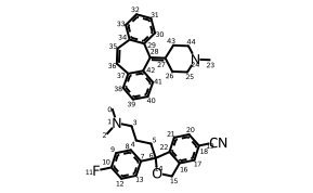 CN(C)CCCC1(c2ccc(F)cc2)OCc2cc(C#N)ccc21.CN1CCC(=C2c3ccccc3C=Cc3ccccc32)CC1